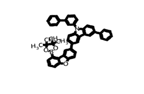 CC1(C)OB(c2cccc3oc4ccc(-c5ccc6c(c5)c5cc(-c7ccccc7)ccc5n6-c5cccc(-c6ccccc6)c5)cc4c23)OC1(C)C